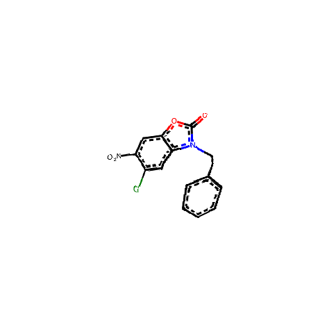 O=c1oc2cc([N+](=O)[O-])c(Cl)cc2n1Cc1ccccc1